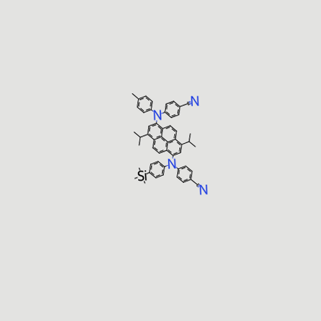 Cc1ccc(N(c2ccc(C#N)cc2)c2cc(C(C)C)c3ccc4c(N(c5ccc(C#N)cc5)c5ccc([Si](C)(C)C)cc5)cc(C(C)C)c5ccc2c3c54)cc1